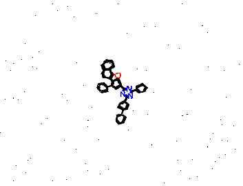 c1ccc(-c2ccc(-c3nc(-c4ccccc4)nc(-c4cc(-c5ccccc5)c5c(c4)oc4c6ccccc6ccc45)n3)cc2)cc1